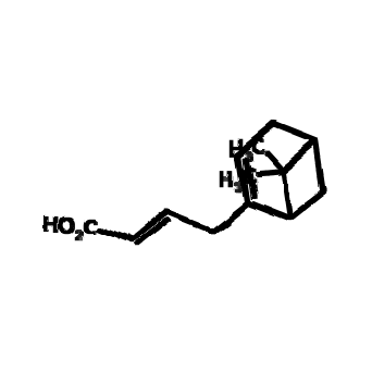 CC1(C)C2CC=C(CC=CC(=O)O)C1C2